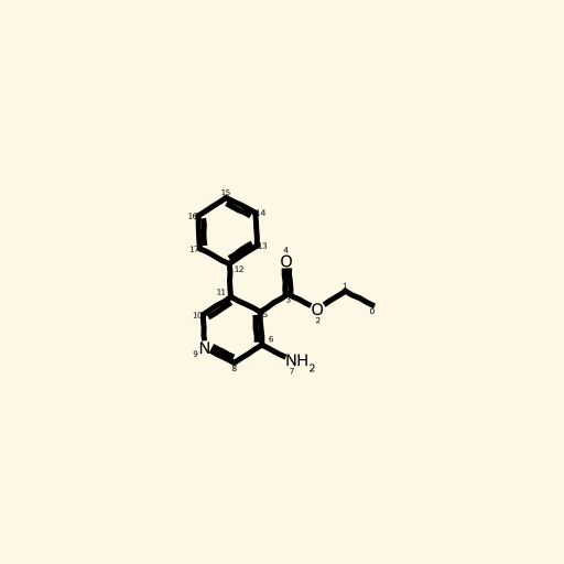 CCOC(=O)c1c(N)cncc1-c1ccccc1